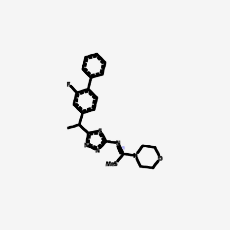 CS/C(=N\c1nnc(C(C)c2ccc(-c3ccccc3)c(F)c2)s1)N1CCOCC1